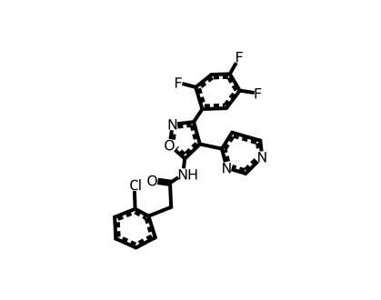 O=C(Cc1ccccc1Cl)Nc1onc(-c2cc(F)c(F)cc2F)c1-c1ccncn1